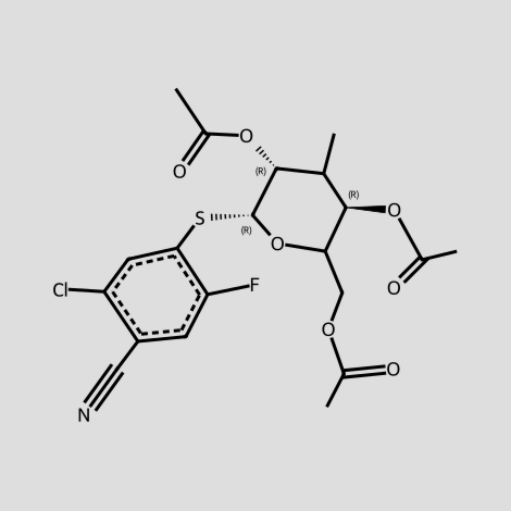 CC(=O)OCC1O[C@H](Sc2cc(Cl)c(C#N)cc2F)[C@H](OC(C)=O)C(C)[C@H]1OC(C)=O